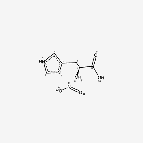 N[C@@H](Cc1c[nH]cn1)C(=O)O.O=NO